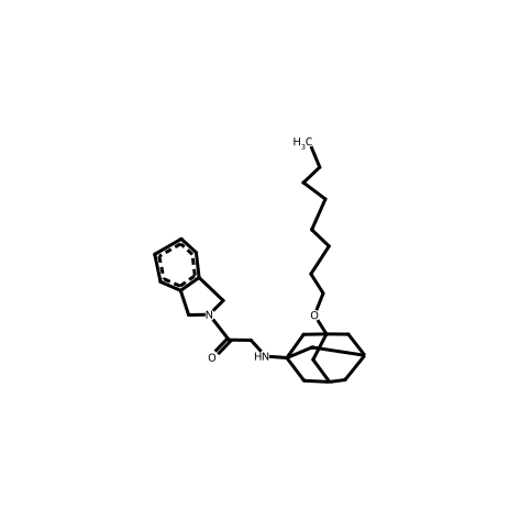 CCCCCCCCOC12CC3CC(CC(NCC(=O)N4Cc5ccccc5C4)(C3)C1)C2